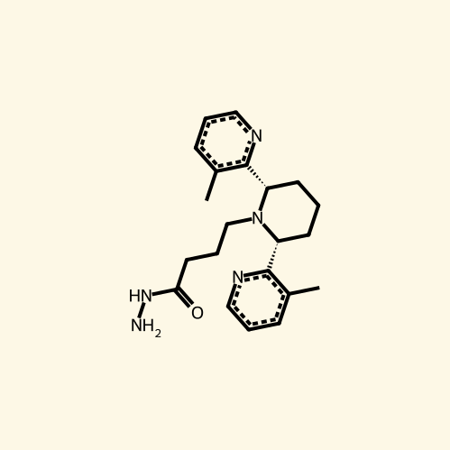 Cc1cccnc1[C@H]1CCC[C@@H](c2ncccc2C)N1CCCC(=O)NN